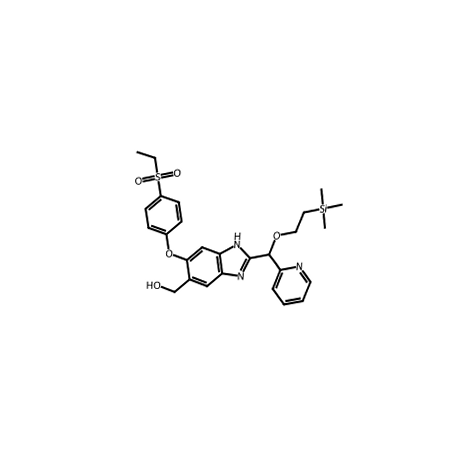 CCS(=O)(=O)c1ccc(Oc2cc3[nH]c(C(OCC[Si](C)(C)C)c4ccccn4)nc3cc2CO)cc1